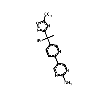 CC(C)C(C)(c1ccc(-c2cnc(N)nc2)nc1)c1noc(C(Cl)(Cl)Cl)n1